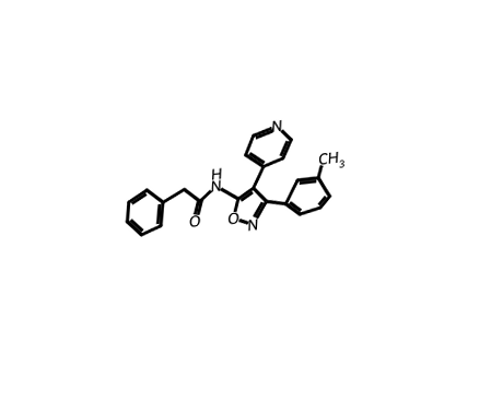 Cc1cccc(-c2noc(NC(=O)Cc3ccccc3)c2-c2ccncc2)c1